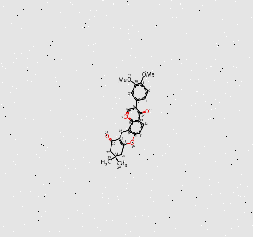 COc1ccc(-c2coc3c4c(ccc3c2=O)OC2=C(C4)C(=O)CC(C)(C)C2)cc1OC